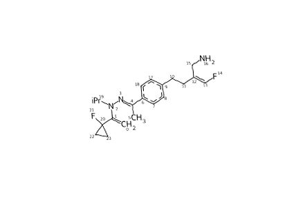 C=C(N(/N=C(\C)c1ccc(CC/C(=C/F)CN)cc1)C(C)C)C1(F)CC1